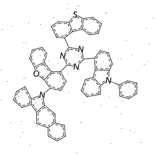 c1ccc(-n2c3ccccc3c3c(-c4nc(-c5cccc6sc7ccccc7c56)nc(-c5ccc(-n6c7ccccc7c7cc8ccccc8cc76)c6oc7ccccc7c56)n4)cccc32)cc1